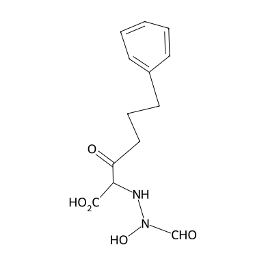 O=CN(O)NC(C(=O)O)C(=O)CCCc1ccccc1